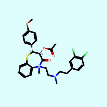 COc1ccc([C@H]2Sc3ccccc3[N+](C)(CCN(C)CCc3ccc(Cl)c(Cl)c3)C(=O)[C@H]2OC(C)=O)cc1.[I-]